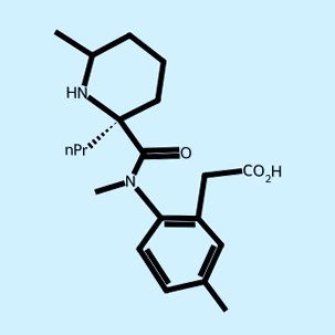 CCC[C@@]1(C(=O)N(C)c2ccc(C)cc2CC(=O)O)CCCC(C)N1